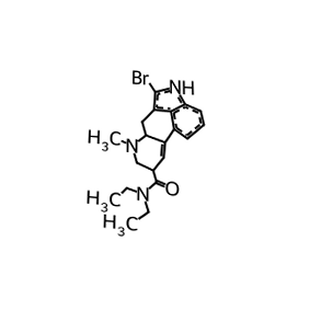 CCN(CC)C(=O)C1C=C2c3cccc4[nH]c(Br)c(c34)CC2N(C)C1